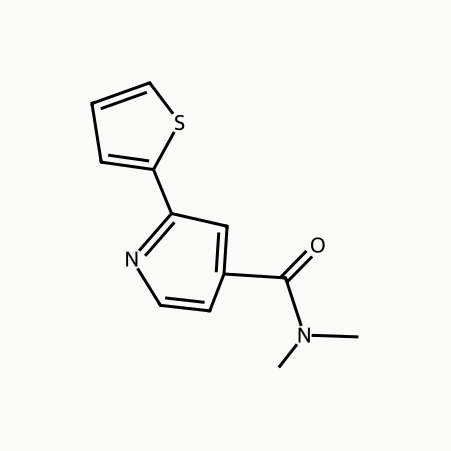 CN(C)C(=O)c1ccnc(-c2cccs2)c1